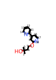 CC(C)(O)CCOc1cc(-c2cc#ccn2)ccn1